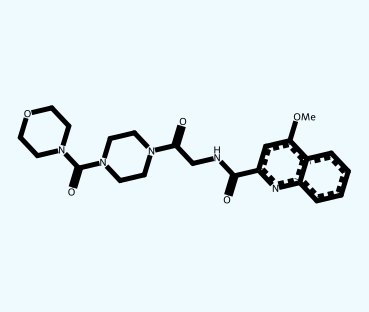 COc1cc(C(=O)NCC(=O)N2CCN(C(=O)N3CCOCC3)CC2)nc2ccccc12